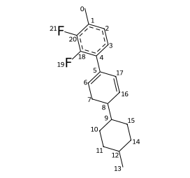 Cc1ccc(C2=CCC(C3CCC(C)CC3)C=C2)c(F)c1F